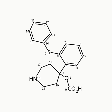 O=C(O)OC1(c2ccccc2Sc2ccccc2)CCNCC1